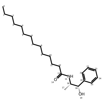 CCCCCCCCCCCCCC(=O)N[C@@H](C)[C@@H](O)c1ccccc1